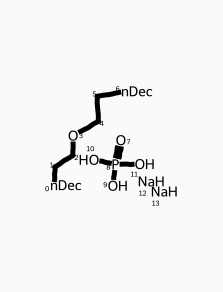 CCCCCCCCCCCCOCCCCCCCCCCCC.O=P(O)(O)O.[NaH].[NaH]